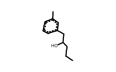 CCCC(O)Cc1cccc(C)c1